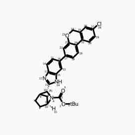 CC(C)(C)OC(=O)N1[C@H]2CCC(C2)[C@@H]1c1nc2ccc(-c3ccc4c(c3)OCc3cc(Cl)ccc3-4)cc2[nH]1